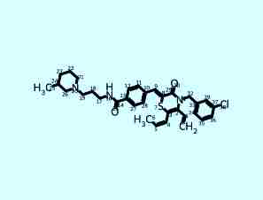 C=CC1=C(/C=C\C)S/C(=C\c2ccc(C(=O)NCCCN3CCCC(C)C3)cc2)C(=O)N1Cc1cccc(Cl)c1